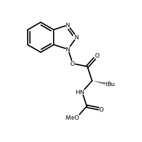 COC(=O)N[C@H](C(=O)On1nnc2ccccc21)C(C)(C)C